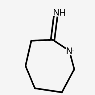 N=C1CCCCC[N]1